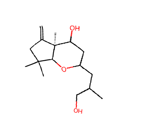 C=C1CC(C)(C)C2OC(CC(C)CO)CC(O)[C@]12C